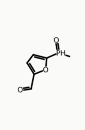 C[PH](=O)c1ccc(C=O)o1